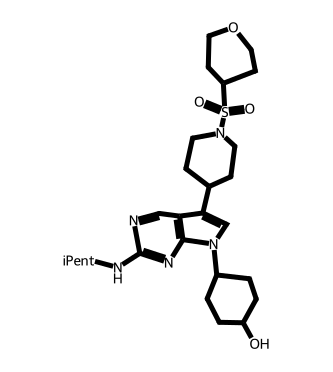 CCCC(C)Nc1ncc2c(C3CCN(S(=O)(=O)C4CCOCC4)CC3)cn(C3CCC(O)CC3)c2n1